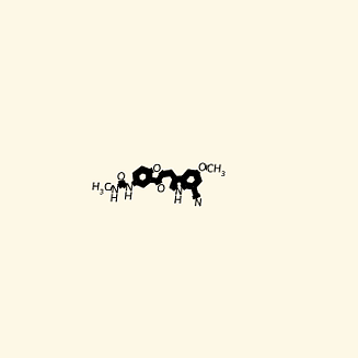 CNC(=O)Nc1ccc2c(c1)C(=O)C(=Cc1c[nH]c3c(C#N)cc(OC)cc13)O2